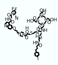 N#C[C@H]1CC(F)(F)CN1C(=O)CNC(=O)c1ccnc2ccc(OCCCN3CCN(C(=O)[C@H](O)CSCCNC(=O)[C@H](CCOCCNC(=O)CCCc4ccc(I)cc4)NC(=O)CN4CCN(CC(=O)O)CCN(CC(=O)O)CCN(CC(=O)O)CC4)CC3)cc12